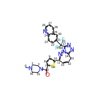 CN1CCN(C(=O)c2ccc(C3=Nn4c(nnc4C(F)(F)c4ccc5ncccc5c4)CC=C3)s2)CC1